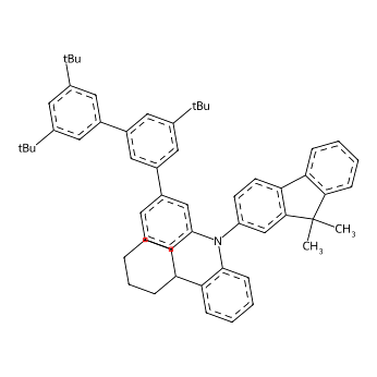 CC(C)(C)c1cc(-c2cccc(N(c3ccc4c(c3)C(C)(C)c3ccccc3-4)c3ccccc3C3CCCCC3)c2)cc(-c2cc(C(C)(C)C)cc(C(C)(C)C)c2)c1